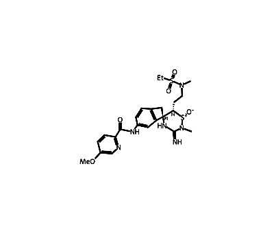 CCS(=O)(=O)N(C)CC[C@@H]1[S+]([O-])N(C)C(=N)N[C@@]12Cc1ccc(NC(=O)c3ccc(OC)cn3)cc12